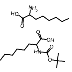 CCCCCCC(N)C(=O)O.CCCCCCC(NC(=O)OC(C)(C)C)C(=O)O